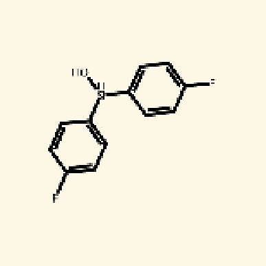 O[SiH](c1ccc(F)cc1)c1ccc(F)cc1